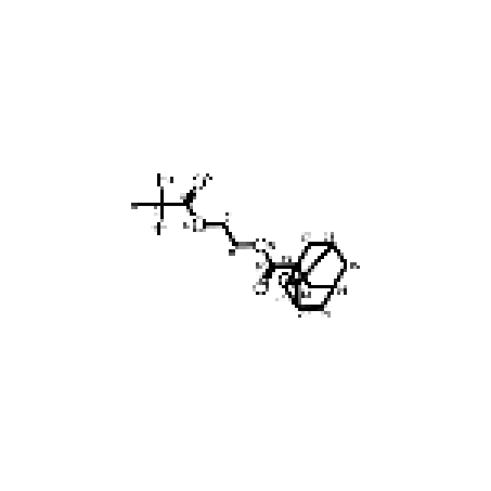 CC(F)(F)C(=O)OCCOC(=O)C12CC3CC(C1)C(=O)C(C3)C2